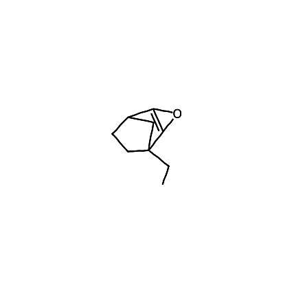 CCC12CCC(C1)C1=C2O1